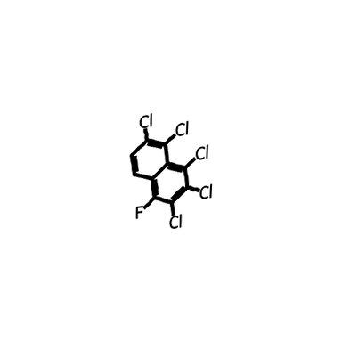 Fc1c(Cl)c(Cl)c(Cl)c2c(Cl)c(Cl)ccc12